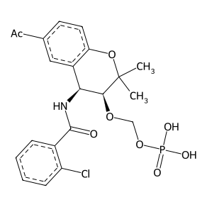 CC(=O)c1ccc2c(c1)[C@H](NC(=O)c1ccccc1Cl)[C@H](OCOP(=O)(O)O)C(C)(C)O2